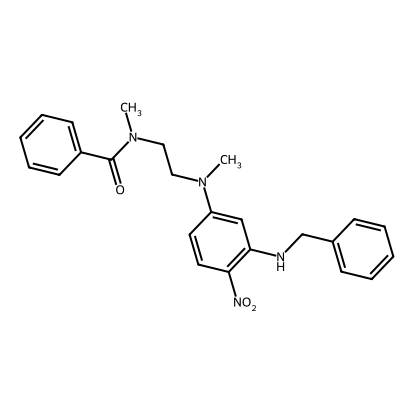 CN(CCN(C)c1ccc([N+](=O)[O-])c(NCc2ccccc2)c1)C(=O)c1ccccc1